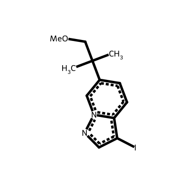 COCC(C)(C)c1ccc2c(I)cnn2c1